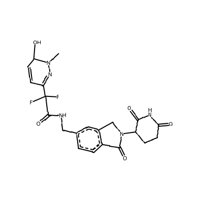 CN1N=C(C(F)(F)C(=O)NCc2ccc3c(c2)CN(C2CCC(=O)NC2=O)C3=O)C=CC1O